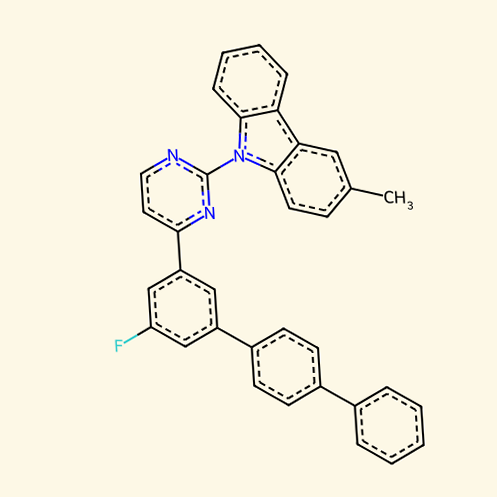 Cc1ccc2c(c1)c1ccccc1n2-c1nccc(-c2cc(F)cc(-c3ccc(-c4ccccc4)cc3)c2)n1